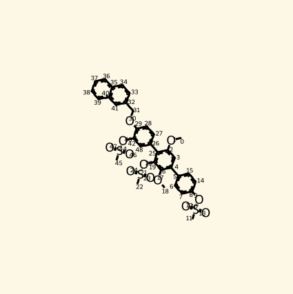 COc1cc(-c2ccc(OS(C)(=O)=O)cc2)c(OC)c(OS(C)(=O)=O)c1-c1ccc(OCc2ccc3ccccc3c2)c(OS(C)(=O)=O)c1